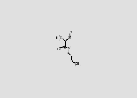 COCCOC(=O)C(C)C=O